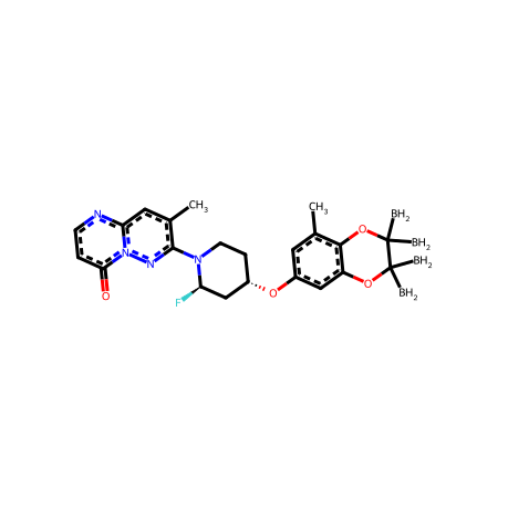 BC1(B)Oc2cc(O[C@H]3CCN(c4nn5c(=O)ccnc5cc4C)[C@H](F)C3)cc(C)c2OC1(B)B